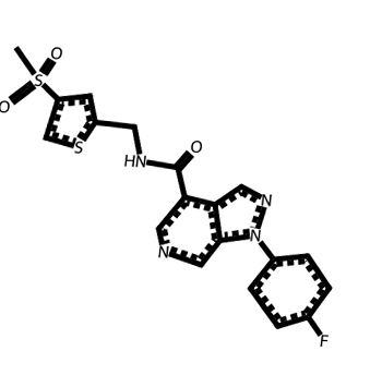 CS(=O)(=O)c1csc(CNC(=O)c2cncc3c2cnn3-c2ccc(F)cc2)c1